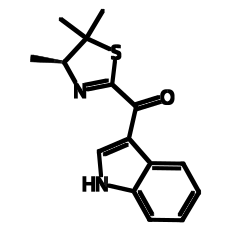 C[C@@H]1N=C(C(=O)c2c[nH]c3ccccc23)SC1(C)C